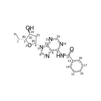 CC[C@H]1O[C@@H](n2cnc3c(NC(=O)c4ccccc4)ncnc32)C[C@@H]1O